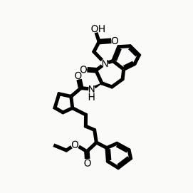 CCOC(=O)C(CCCC1CCCC1C(=O)N[C@@H]1CCc2ccccc2N(CC(=O)O)C1=O)c1ccccc1